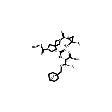 COC(=O)[C@@H](NC(=O)[C@@H]1CN(C(=O)OC(C)(C)C)CC12CN(C(=O)[C@H]1CC1(C)C)C2)[C@@H](C)OCC12CCC(CC1)OC2